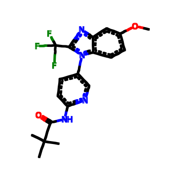 COc1ccc2c(c1)nc(C(F)(F)F)n2-c1ccc(NC(=O)C(C)(C)C)nc1